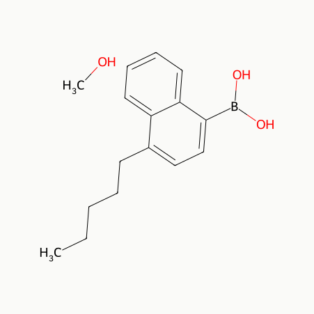 CCCCCc1ccc(B(O)O)c2ccccc12.CO